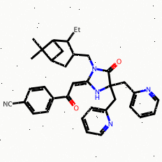 CCC1C(CN2C(=O)C(Cc3ccccn3)(Cc3ccccn3)NC2=CC(=O)c2ccc(C#N)cc2)CC2CC1C2(C)C